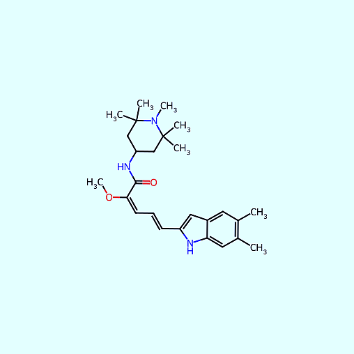 CO/C(=C/C=C/c1cc2cc(C)c(C)cc2[nH]1)C(=O)NC1CC(C)(C)N(C)C(C)(C)C1